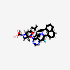 CC(C)[Si](C#Cc1cccc2cccc(-c3ncc4c(N5CC[C@@H]6[C@H]5CN6C(=O)O)ncnc4c3F)c12)(C(C)C)C(C)C